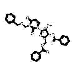 O=C(OC[C@H]1O[C@H](n2ccc(=O)n(COCc3ccccc3)c2=O)[C@@H](O)[C@@H]1OC(=O)c1ccccc1)c1ccccc1